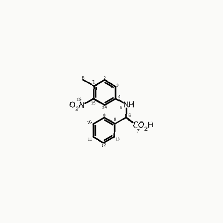 Cc1ccc(NC(C(=O)O)c2ccccc2)cc1[N+](=O)[O-]